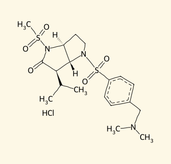 CC(C)[C@H]1C(=O)N(S(C)(=O)=O)[C@H]2CCN(S(=O)(=O)c3ccc(CN(C)C)cc3)[C@H]12.Cl